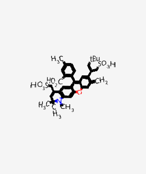 C=c1cc2c(cc1C(CC(C)(C)C)CS(=O)(=O)O)=C(c1ccc(C)cc1C(=O)O)c1cc3c(cc1O2)N(C)C(C)(C)C=C3CS(=O)(=O)O